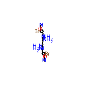 CN(C)CCOc1ccc(CCN(N)/C=C(\N)CCCC/C(N)=C/N(N)CCc2ccc(OCCN(C)C)c(Br)c2)cc1Br